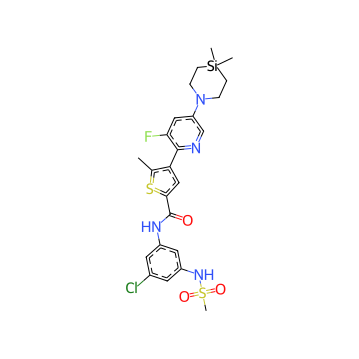 Cc1sc(C(=O)Nc2cc(Cl)cc(NS(C)(=O)=O)c2)cc1-c1ncc(N2CC[Si](C)(C)CC2)cc1F